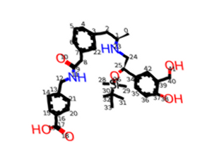 C[C@H](Cc1cccc(CC(=O)NCc2ccc(C(=O)O)cc2)c1)NC[C@H](O[Si](C)(C)C(C)(C)C)c1ccc(O)c(CO)c1